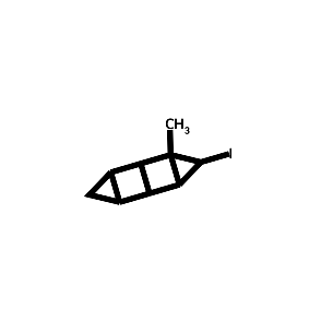 CC12C(I)C1C1C3CC3C12